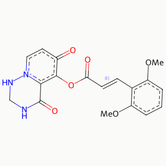 COc1cccc(OC)c1/C=C/C(=O)Oc1c2n(ccc1=O)NCNC2=O